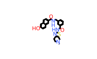 CN1CCc2nc(NC(=O)c3cccc(CNC(=O)c4ccc5cc(O)ccc5c4)c3)sc2C1